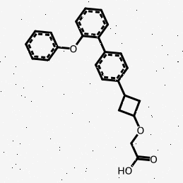 O=C(O)COC1CC(c2ccc(-c3ccccc3Oc3ccccc3)cc2)C1